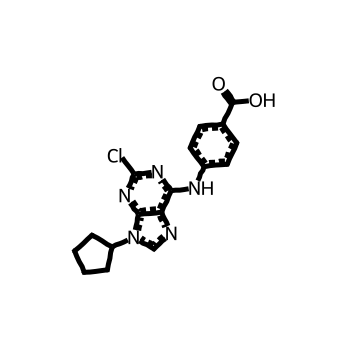 O=C(O)c1ccc(Nc2nc(Cl)nc3c2ncn3C2CCCC2)cc1